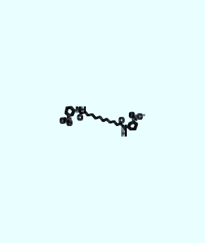 O=C(CCCCCCCCCCC(=O)Nc1cccc([N+](=O)[O-])c1)Nc1cccc([N+](=O)[O-])c1